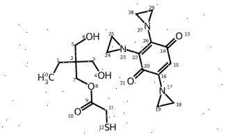 CCC(CO)(CO)COC(=O)CS.O=C1C=C(N2CC2)C(=O)C(N2CC2)=C1N1CC1